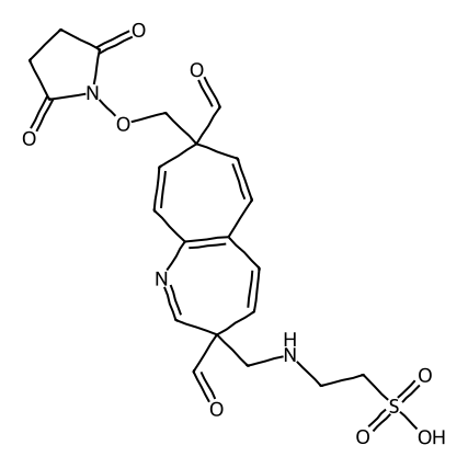 O=CC1(CNCCS(=O)(=O)O)C=CC2=C(C=CC(C=O)(CON3C(=O)CCC3=O)C=C2)N=C1